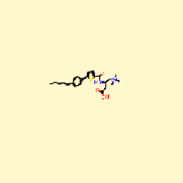 CCCCCc1ccc(-c2ccc(C(=O)N[C@H](CC(=O)O)C[N+](C)(C)C)s2)cc1